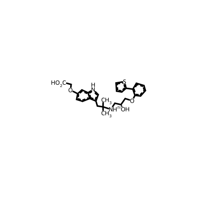 CC(C)(Cc1c[nH]c2cc(OCC(=O)O)ccc12)NC[C@H](O)COc1ccccc1-c1cccs1